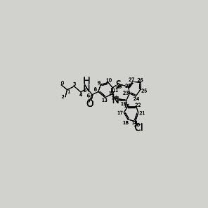 CC(C)CCNC(=O)c1ccc2c(c1)N=C(c1ccc(Cl)cc1)c1ccccc1S2